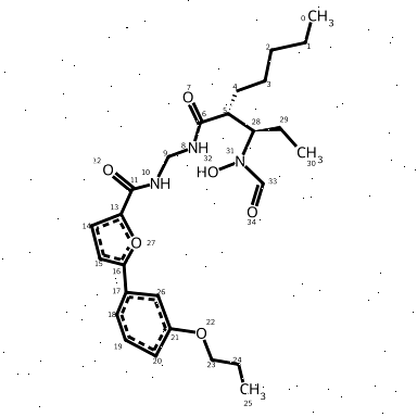 CCCCC[C@@H](C(=O)NCNC(=O)c1ccc(-c2cccc(OCCC)c2)o1)[C@@H](CC)N(O)C=O